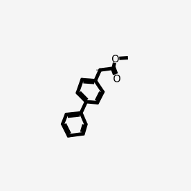 COC(=O)[CH]c1ccc(-c2ccccc2)cc1